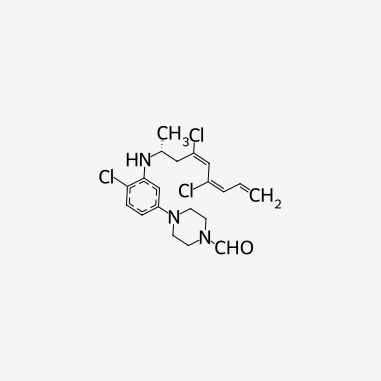 C=C/C=C(Cl)\C=C(\Cl)C[C@@H](C)Nc1cc(N2CCN(C=O)CC2)ccc1Cl